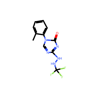 Cc1ccccc1-n1cnc(NNC(F)(F)F)nc1=O